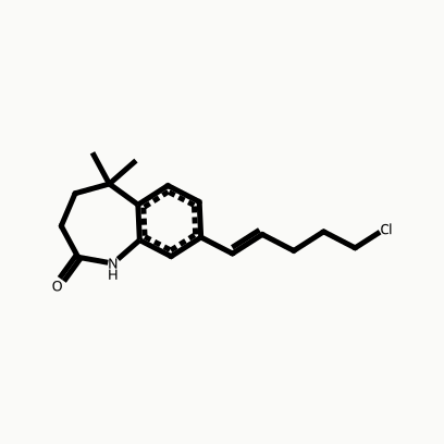 CC1(C)CCC(=O)Nc2cc(/C=C/CCCCl)ccc21